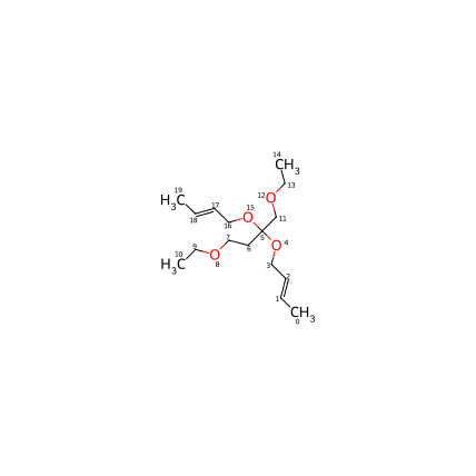 CC=CCOC(CCOCC)(COCC)OCC=CC